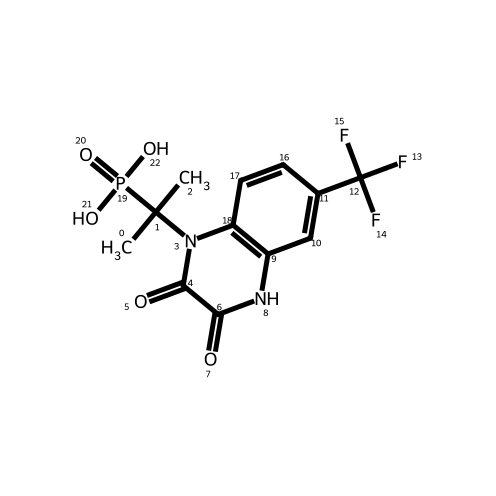 CC(C)(n1c(=O)c(=O)[nH]c2cc(C(F)(F)F)ccc21)P(=O)(O)O